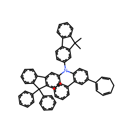 CC1(C)c2ccccc2-c2ccc(N(c3ccc4c(c3)-c3ccccc3C4(c3ccccc3)c3ccccc3)c3ccc(C4=CC=CCC=C4)cc3-c3ccccc3)cc21